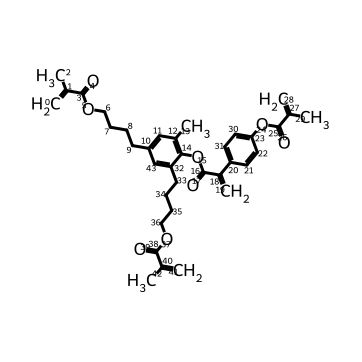 C=C(C)C(=O)OCCCCc1cc(C)c(OC(=O)C(=C)c2ccc(OC(=O)C(=C)C)cc2)c(CCCCOC(=O)C(=C)C)c1